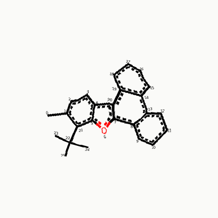 Cc1ccc2c(oc3c4ccccc4c4ccccc4c23)c1C(C)(C)C